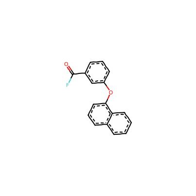 O=C(F)c1cccc(Oc2cccc3ccccc23)c1